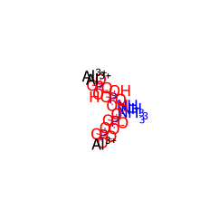 N.N.N.O=P(O)(O)O.O=P([O-])([O-])[O-].O=P([O-])([O-])[O-].O=P([O-])([O-])[O-].[Al+3].[Al+3].[Al+3]